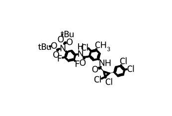 Cc1cc(NC(=O)[C@H]2[C@H](c3ccc(Cl)c(Cl)c3)C2(Cl)Cl)cc(C(=O)Nc2cc(N(C(=O)OC(C)(C)C)C(=O)OC(C)(C)C)c(F)cc2F)c1Cl